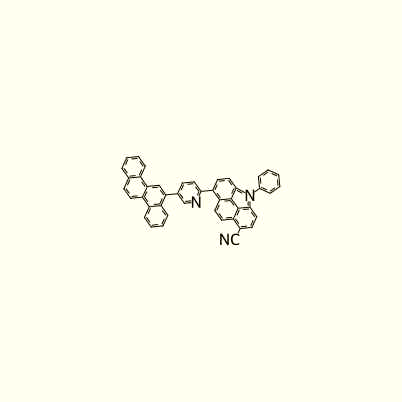 N#Cc1ccc2c3c1ccc1c(-c4ccc(-c5cc6c7ccccc7ccc6c6ccccc56)cn4)ccc(c13)n2-c1ccccc1